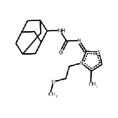 COCCn1c(C)csc1=NC(=O)NC1C2CC3CC(C2)CC1C3